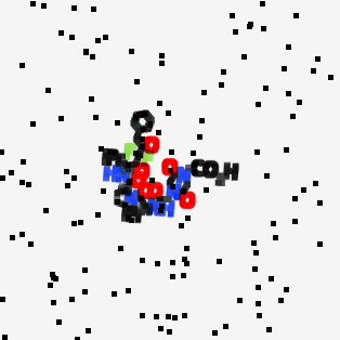 CC(C)[C@H](NC(=O)CN1CC(=O)N(CC(=O)O)CC1=O)C(=O)N1CCC[C@H]1C(=O)N[C@H](C(=O)C(F)(F)C(=O)Cc1ccccc1)C(C)C